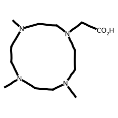 CN1CCN(C)CCN(CC(=O)O)CCN(C)CC1